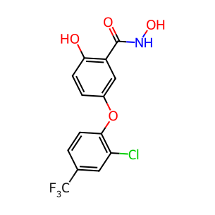 O=C(NO)c1cc(Oc2ccc(C(F)(F)F)cc2Cl)ccc1O